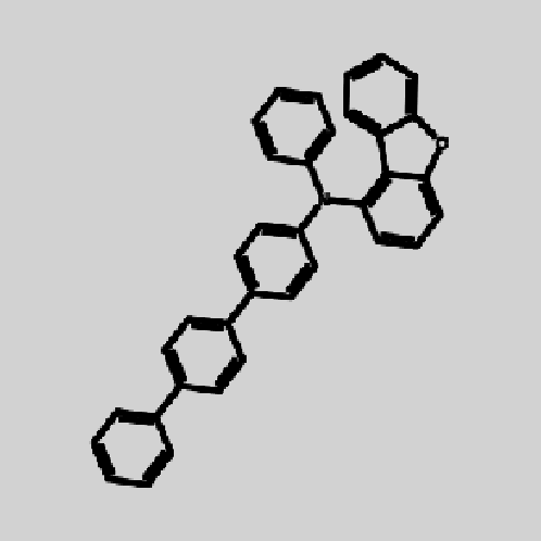 c1ccc(-c2ccc(-c3ccc(N(c4ccccc4)c4cccc5oc6ccccc6c45)cc3)cc2)cc1